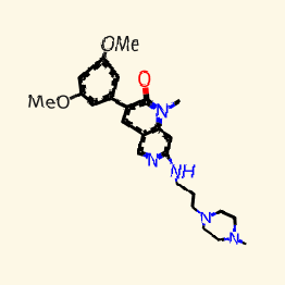 COc1cc(OC)cc(-c2cc3cnc(NCCCN4CCN(C)CC4)cc3n(C)c2=O)c1